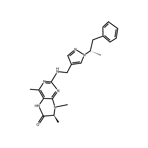 Cc1nc(NCc2cnn([C@@H](C)Cc3ccccc3)c2)nc2c1NC(=O)[C@H](C)N2C